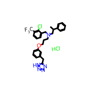 CC(CN(CCCOc1cccc(Cc2nnn[nH]2)c1)Cc1cccc(C(F)(F)F)c1Cl)c1ccccc1.Cl